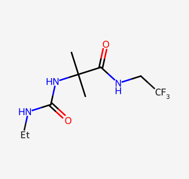 CCNC(=O)NC(C)(C)C(=O)NCC(F)(F)F